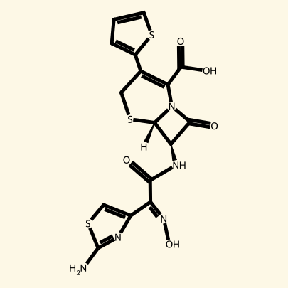 Nc1nc(C(=NO)C(=O)N[C@@H]2C(=O)N3C(C(=O)O)=C(c4cccs4)CS[C@@H]23)cs1